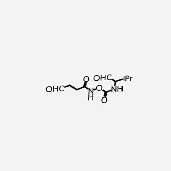 CC(C)C(C=O)NC(=O)ONC(=O)CCC=O